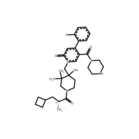 C[C@H](CC1CCC1)C(=O)N1CCC(O)(Cn2cc(C(=O)N3CCNCC3)c(-c3ccccc3F)cc2=O)C(C)(C)C1